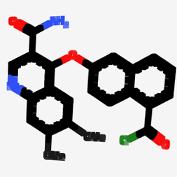 COc1cc2ncc(C(N)=O)c(Oc3ccc4c(C(=O)Cl)cccc4c3)c2cc1OC